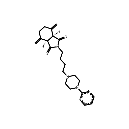 C=C1CCC(=C)[C@H]2C(=O)N(CCCCN3CCN(c4ncccn4)CC3)C(=O)[C@@H]12